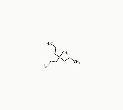 CCCC(C)(CCC)CCC